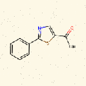 CC(C)(C)C(=O)c1cnc(-c2ccccc2)s1